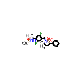 CC(N[S+]([O-])C(C)(C)C)c1cc(F)c(CN2[C@@H](C)CC[C@H](c3ccccc3)S2(=O)=O)cc1F